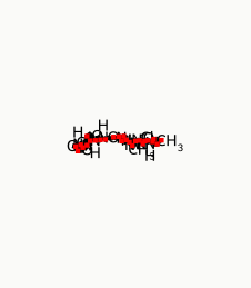 Cc1ccc(NC(=O)c2cnc(Nc3cc(N4CCN(CCOCCCNCC(=O)Nc5cccc6c5CN(C(=O)c5cccc(=O)[nH]c5=O)C6)CC4)nc(C)n3)s2)c(Cl)c1